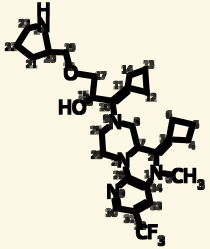 CN1C(=C2CCC2)C2CN(C(=C3CCC3)C(O)COCC3CCCN3)CCN2c2ncc(C(F)(F)F)cc21